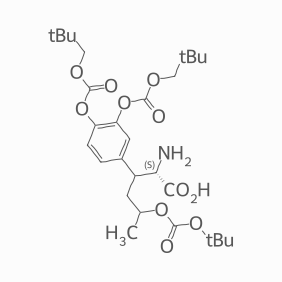 CC(CC(c1ccc(OC(=O)OCC(C)(C)C)c(OC(=O)OCC(C)(C)C)c1)[C@H](N)C(=O)O)OC(=O)OC(C)(C)C